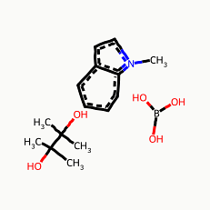 CC(C)(O)C(C)(C)O.Cn1ccc2ccccc21.OB(O)O